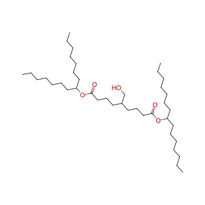 CCCCCCCC(CCCCCCC)OC(=O)CCCC(CO)CCCC(=O)OC(CCCCCCC)CCCCCCC